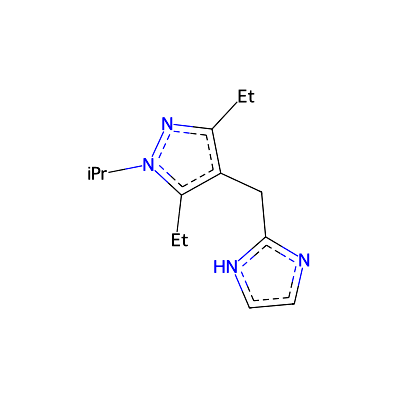 CCc1nn(C(C)C)c(CC)c1Cc1ncc[nH]1